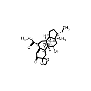 CC[C@H]1CC[C@H]2[C@@H]3C[C@H](C(=O)OC)C4=CC(=O)C5(C[C@]4(C)[C@H]3[C@@H](O)C[C@]12C)OCO5